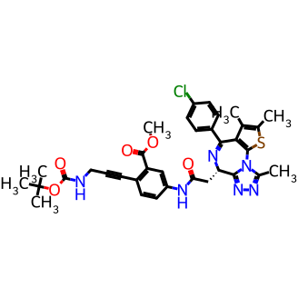 COC(=O)c1cc(NC(=O)C[C@@H]2N=C(c3ccc(Cl)cc3)c3c(sc(C)c3C)-n3c(C)nnc32)ccc1C#CCNC(=O)OC(C)(C)C